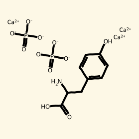 NC(Cc1ccc(O)cc1)C(=O)O.O=P([O-])([O-])[O-].O=P([O-])([O-])[O-].[Ca+2].[Ca+2].[Ca+2]